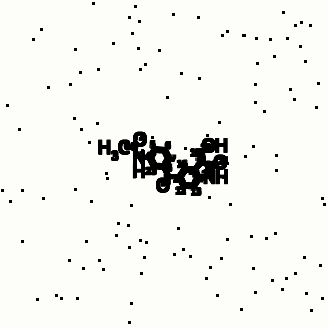 CC(=O)Nc1cccc(C(=O)c2ccc3c(c2)/C(=C/O)C(=O)N3)c1